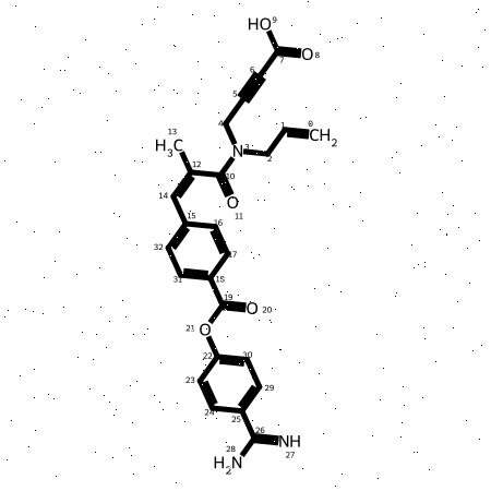 C=CCN(CC#CC(=O)O)C(=O)C(C)=Cc1ccc(C(=O)Oc2ccc(C(=N)N)cc2)cc1